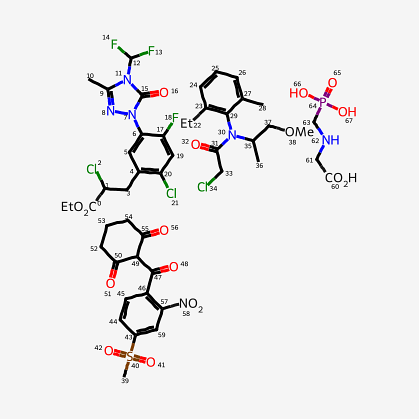 CCOC(=O)C(Cl)Cc1cc(-n2nc(C)n(C(F)F)c2=O)c(F)cc1Cl.CCc1cccc(C)c1N(C(=O)CCl)C(C)COC.CS(=O)(=O)c1ccc(C(=O)C2C(=O)CCCC2=O)c([N+](=O)[O-])c1.O=C(O)CNCP(=O)(O)O